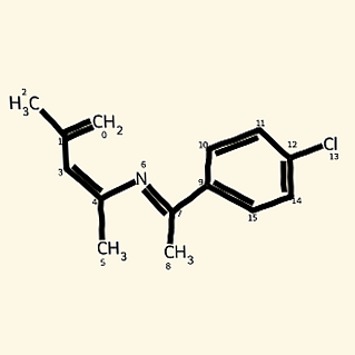 C=C(C)/C=C(C)\N=C(/C)c1ccc(Cl)cc1